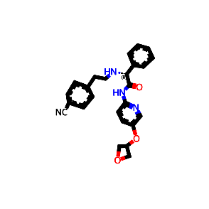 N#Cc1ccc(CCN[C@@H](C(=O)Nc2ccc(OC3COC3)cn2)c2ccccc2)cc1